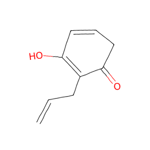 C=CCC1=C(O)C=CCC1=O